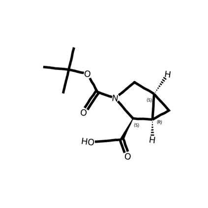 CC(C)(C)OC(=O)N1C[C@H]2C[C@H]2[C@H]1C(=O)O